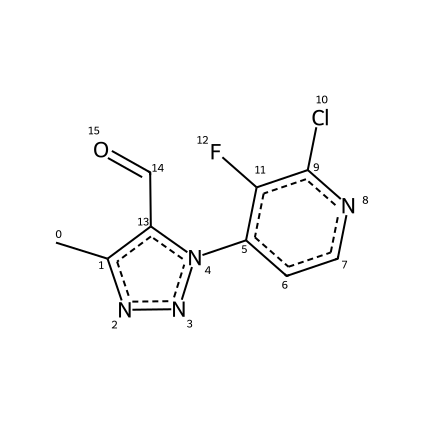 Cc1nnn(-c2ccnc(Cl)c2F)c1C=O